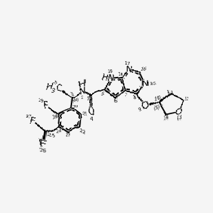 C[C@@H](NC(=O)c1cc2c(O[C@H]3CCOC3)ncnc2[nH]1)c1cccc(C(F)F)c1F